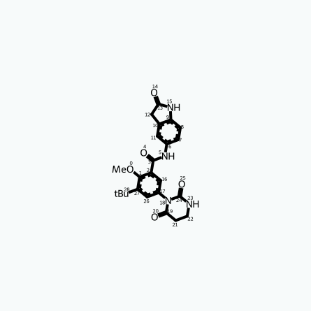 COc1c(C(=O)Nc2ccc3c(c2)CC(=O)N3)cc(N2C(=O)CCNC2=O)cc1C(C)(C)C